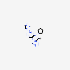 CCC1c2nncn2-c2cnc(-n3ccnc3)nc2N1C1CCCC1